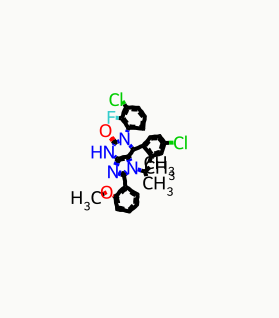 COc1ccccc1-c1nc2c(n1C(C)C)C(c1ccc(Cl)cc1C)N(c1cccc(Cl)c1F)C(=O)N2